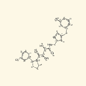 O=C(NCc1ncc(Cc2cccc(Cl)c2)s1)[C@H](O)[C@@H](O)C(=O)N1CCCC1c1cccc(Cl)c1